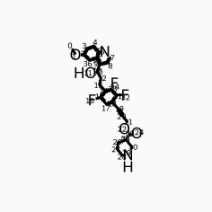 COc1ccc2nccc([C@H](O)CCc3c(F)cc(C#CCOC(=O)[C@@H]4CCCNC4)c(F)c3F)c2c1